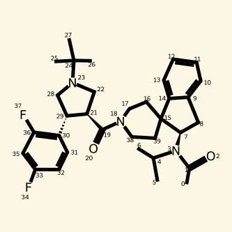 CC(=O)N(C(C)C)[C@@H]1Cc2ccccc2C12CCN(C(=O)[C@@H]1CN(C(C)(C)C)C[C@H]1c1ccc(F)cc1F)CC2